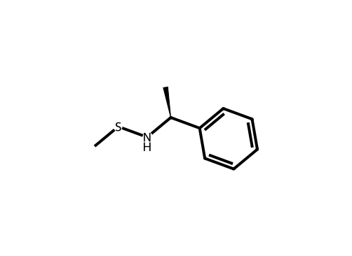 CSN[C@@H](C)c1ccccc1